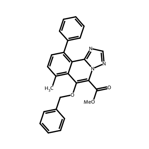 COC(=O)c1c(OCc2ccccc2)c2c(C)ccc(-c3ccccc3)c2c2ncnn12